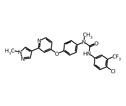 CN(C(=O)Nc1ccc(Cl)c(C(F)(F)F)c1)c1ccc(Oc2ccnc(-c3cnn(C)c3)c2)cc1